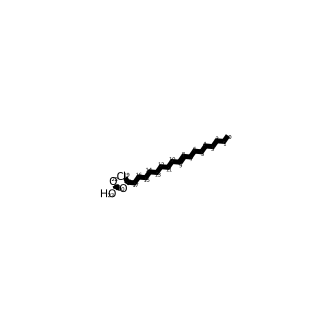 CCCCCCCCC=CCCCCCCCCC(Cl)OC(=O)O